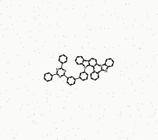 c1ccc(-c2nc(-c3ccccc3)nc(-c3cccc(-c4cccc(-n5c6ccccc6c6ccc7c(c8ccccc8c8nc9ccccc9n78)c65)c4)c3)n2)cc1